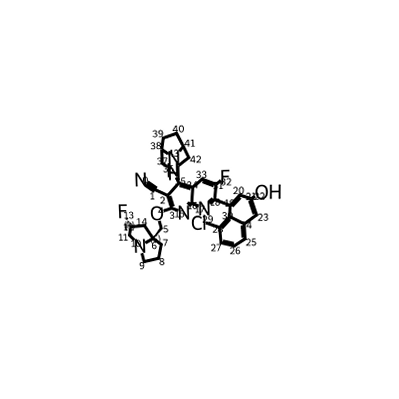 N#Cc1c(OC[C@@]23CCCN2C[C@H](F)C3)nc2nc(-c3cc(O)cc4cccc(Cl)c34)c(F)cc2c1N1CC2CCC(C1)N2